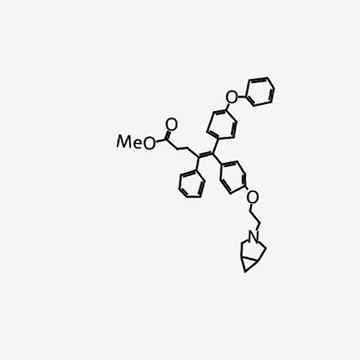 COC(=O)CC/C(=C(/c1ccc(OCCN2CC3CC3C2)cc1)c1ccc(Oc2ccccc2)cc1)c1ccccc1